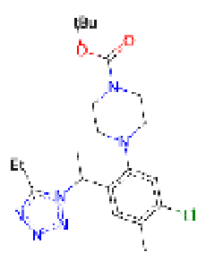 CCc1nnnn1C(C)c1cc(C)c(Cl)cc1N1CCN(C(=O)OC(C)(C)C)CC1